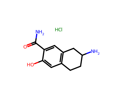 Cl.NC(=O)c1cc2c(cc1O)CCC(N)C2